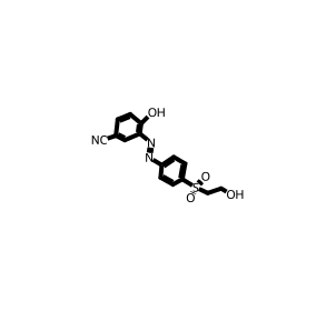 N#Cc1ccc(O)c(N=Nc2ccc(S(=O)(=O)CCO)cc2)c1